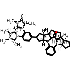 C[C@@H]1N(C)N(C)[C@@H](C)P1c1ccc(C2C[C@@H]3[C@H]4CCC[C@H]4P(c4ccccc4P4[C@@H]5CCC[C@@H]5[C@H]5CCC[C@H]54)[C@@H]3C2)cc1P1[C@H](C)N(C)N(C)[C@H]1C